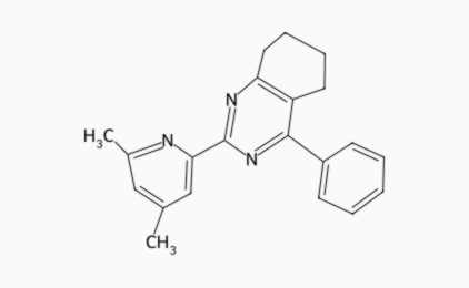 Cc1cc(C)nc(-c2nc3c(c(-c4ccccc4)n2)CCCC3)c1